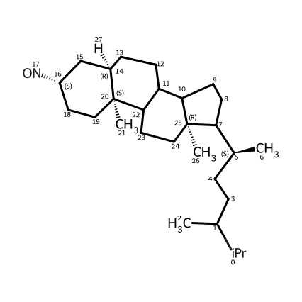 CC(C)C(C)CC[C@H](C)C1CCC2C3CC[C@@H]4C[C@@H](N=O)CC[C@]4(C)C3CC[C@@]21C